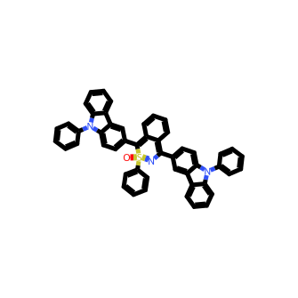 O=S1(c2ccccc2)=NC(c2ccc3c(c2)c2ccccc2n3-c2ccccc2)=c2ccccc2=C1c1ccc2c(c1)c1ccccc1n2-c1ccccc1